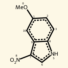 COc1ccc2[nH]cc([N+](=O)[O-])c2c1